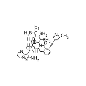 B=C(/C(B)=C(B)\C(B)=C(\B)C)n1c(C(C)NC(=O)c2c(N)nn3cccnc23)cc2cccc(C#Cc3cnn(C)c3)c2c1=O